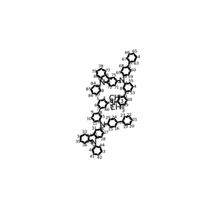 C[Si](C)(c1cccc(-c2cccc(N(c3ccc(-c4ccccc4)cc3)c3ccc4c(c3)c3ccccc3n4-c3ccccc3)c2)c1)c1cccc(-c2cccc(N(c3ccc(-c4ccccc4)cc3)c3ccc4c(c3)c3ccccc3n4-c3ccccc3)c2)c1